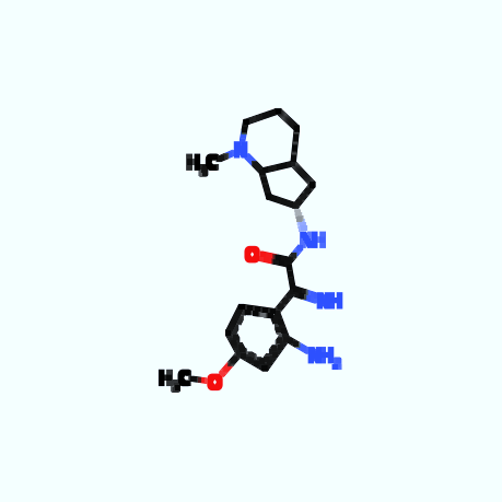 COc1ccc(C(=N)C(=O)N[C@H]2CC3CCCN(C)C3C2)c(N)c1